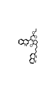 CCOC(=O)CC(c1cnc2ccccc2c1)N1CCC(CCCc2ccc3cccnc3n2)C1=O